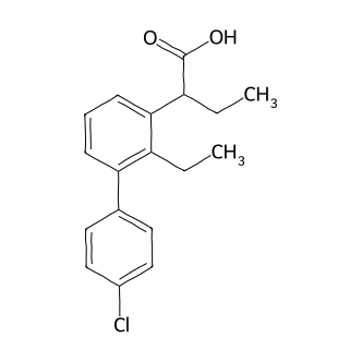 CCc1c(-c2ccc(Cl)cc2)cccc1C(CC)C(=O)O